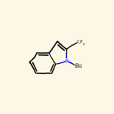 CCC(C)n1c(C(F)(F)F)cc2ccccc21